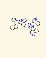 c1ccc2c(c1)ccc1c(-c3ccc(-c4nc(-c5ccnc6ccccc56)nc(-c5ccnc6ccccc56)n4)c4cccnc34)nc3ccccc3c12